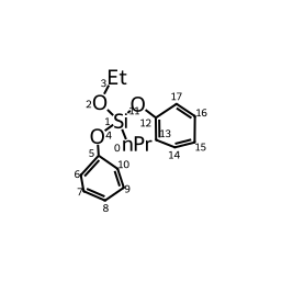 CCC[Si](OCC)(Oc1ccccc1)Oc1ccccc1